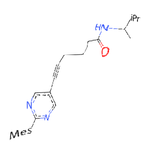 CSc1ncc(C#CCCCC(=O)NC(C)C(C)C)cn1